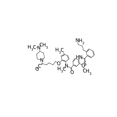 COc1cc(C(=O)N(C)c2ccc(C)cc2OCCCCC(=C=O)N2CCC(N(C)C)CC2)ccc1NC(=S)c1ccccc1CCCN